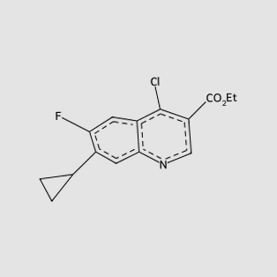 CCOC(=O)c1cnc2cc(C3CC3)c(F)cc2c1Cl